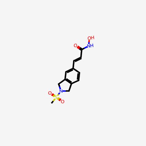 CS(=O)(=O)N1Cc2ccc(C=CC(=O)NO)cc2C1